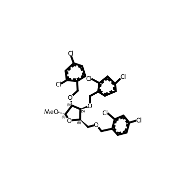 CO[C@H]1O[C@H](COCc2ccc(Cl)cc2Cl)[C@H](OCc2ccc(Cl)cc2Cl)[C@H]1OCc1ccc(Cl)cc1Cl